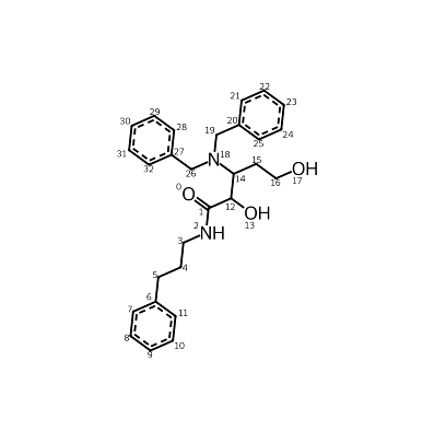 O=C(NCCCc1ccccc1)C(O)C(CCO)N(Cc1ccccc1)Cc1ccccc1